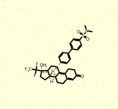 CN(C)S(=O)(=O)c1ccc(-c2ccc([C@H]3C[C@@]4(C)[C@@H](CC[C@@]4(O)C(F)(F)C(F)(F)F)[C@@H]4CCC5=CC(=O)CCC5=C43)cc2)cc1